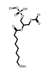 CCCCCCCCCCCCCCCCCC(=O)OC(COC(=O)CC)COP(=O)(O)OCC